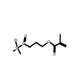 C=C(C)C(=O)OCCC[Si](=O)[Si](C)(C)CC